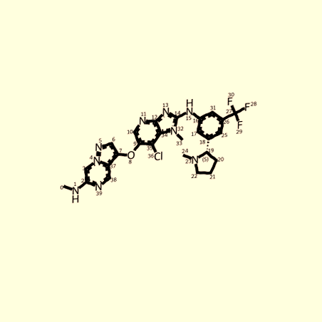 CNc1cn2ncc(Oc3cnc4nc(Nc5cc([C@@H]6CCCN6C)cc(C(F)(F)F)c5)n(C)c4c3Cl)c2cn1